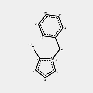 Fc1cccn1Cc1ccccc1